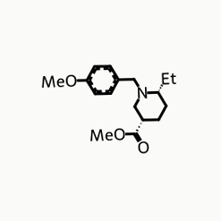 CC[C@@H]1CC[C@H](C(=O)OC)CN1Cc1ccc(OC)cc1